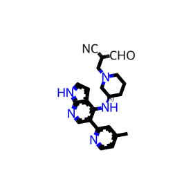 Cc1ccnc(-c2cnc3[nH]ccc3c2N[C@@H]2CCCN(CC(C#N)C=O)C2)c1